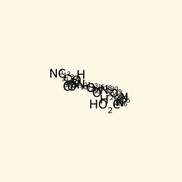 N#Cc1ccc(S(=O)(=O)CNCCOCC(=O)CNCc2ccc(C3=NCCN3C(=O)O)cc2)c(Cl)c1